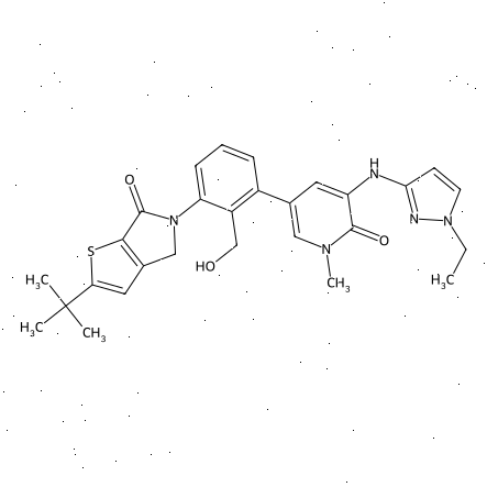 CCn1ccc(Nc2cc(-c3cccc(N4Cc5cc(C(C)(C)C)sc5C4=O)c3CO)cn(C)c2=O)n1